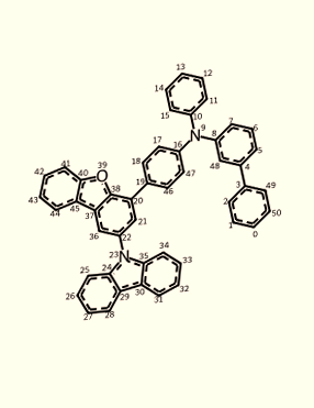 c1ccc(-c2cccc(N(c3ccccc3)c3ccc(-c4cc(-n5c6ccccc6c6ccccc65)cc5c4oc4ccccc45)cc3)c2)cc1